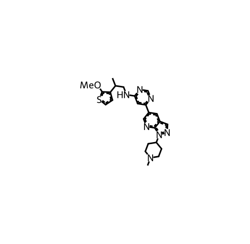 COc1sccc1C(C)CNc1cc(-c2cnc3c(cnn3C3CCN(C)CC3)c2)ncn1